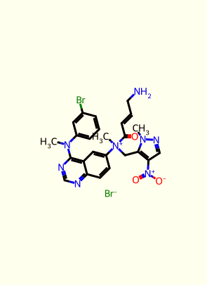 CN(c1cccc(Br)c1)c1ncnc2ccc([N+](C)(Cc3c([N+](=O)[O-])cnn3C)C(=O)/C=C/CN)cc12.[Br-]